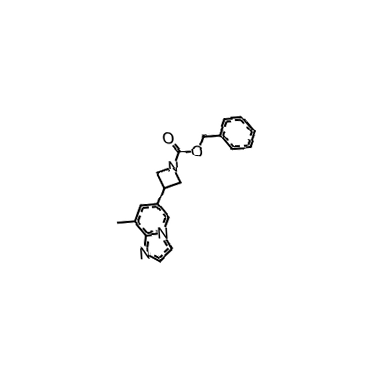 Cc1cc(C2CN(C(=O)OCc3ccccc3)C2)cn2ccnc12